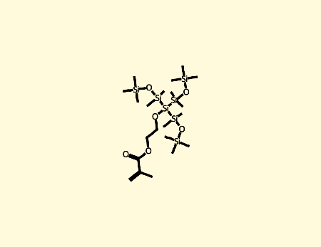 C=C(C)C(=O)OCCO[Si]([Si](C)(C)O[Si](C)(C)C)([Si](C)(C)O[Si](C)(C)C)[Si](C)(C)O[Si](C)(C)C